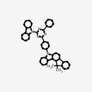 CC1(C)c2ccccc2-c2ccc3c(c21)c1ccccc1n3-c1ccc(-c2nc(-c3ccccc3)nc(-n3c4ccccc4c4ccccc43)n2)cc1